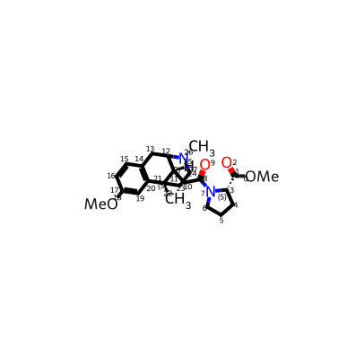 COC(=O)[C@@H]1CCCN1C(=O)C[C@H]1C2Cc3ccc(OC)cc3[C@@]1(C)CCN2C